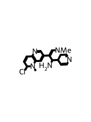 CN/C=C(/c1cnc2c(c1)N(C)C(Cl)C=C2)C(N)C1C=CN=CC1